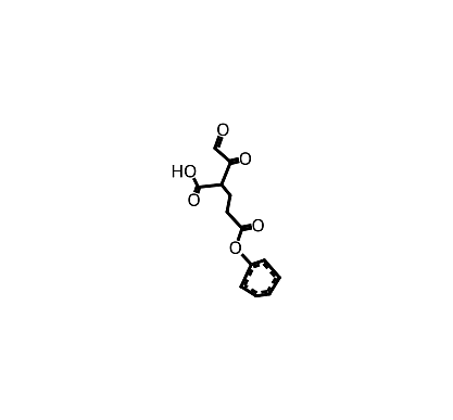 O=CC(=O)C(CCC(=O)Oc1ccccc1)C(=O)O